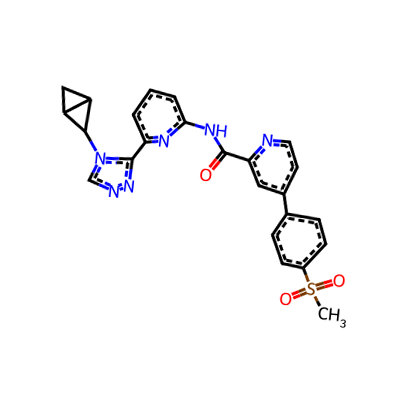 CS(=O)(=O)c1ccc(-c2ccnc(C(=O)Nc3cccc(-c4nncn4C4C5CC54)n3)c2)cc1